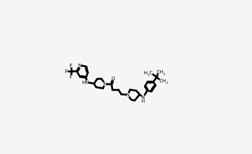 CC(C)(C)c1ccc(NC2CCN(CCCC(=O)N3CCC(Nc4ccnc(C(F)(F)F)c4)CC3)CC2)cc1